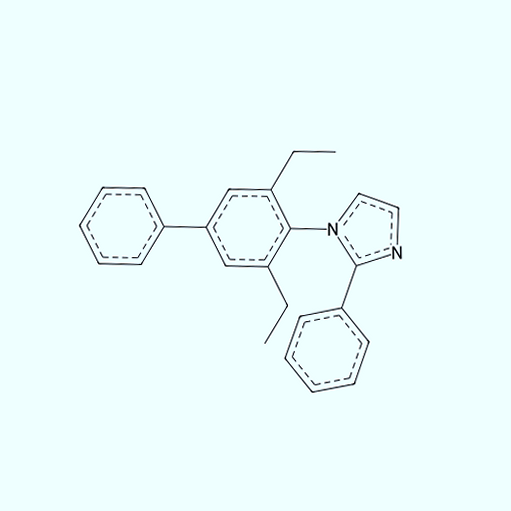 CCc1cc(-c2ccccc2)cc(CC)c1-n1ccnc1-c1ccccc1